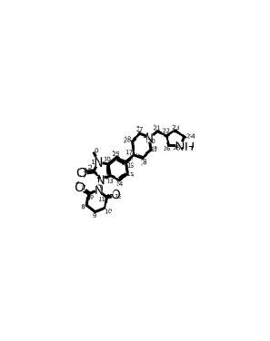 Cn1c(=O)n(N2C(=O)CCCC2=O)c2ccc(C3CCN(CC4CCNC4)CC3)cc21